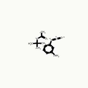 CC(=O)OC(C)(C)C.Nc1cccc(N=C=O)c1